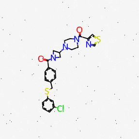 O=C(c1ccc(CSc2cccc(Cl)c2)cc1)N1CC(N2CCN(C(=O)c3cscn3)CC2)C1